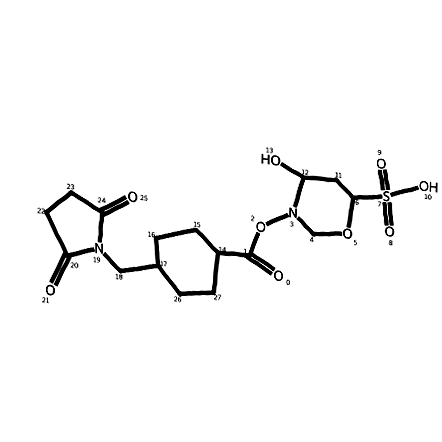 O=C(ON1COC(S(=O)(=O)O)CC1O)C1CCC(CN2C(=O)CCC2=O)CC1